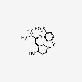 CN(C)C(=O)/C=C1\CNCCC1O.Cc1ccc(S(=O)(=O)O)cc1